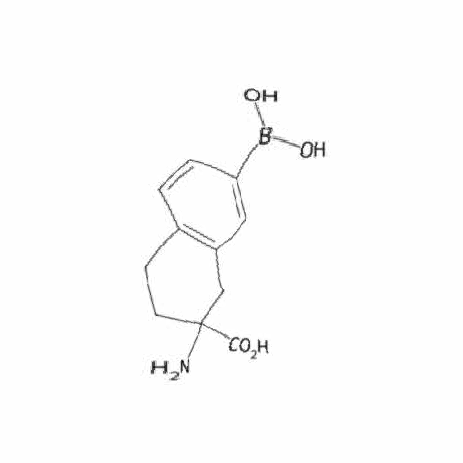 NC1(C(=O)O)CCc2ccc(B(O)O)cc2C1